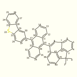 CC1(C)c2cccc3cc(-c4c5ccccc5c(-c5ccc6sc7ccccc7c6c5)c5ccccc45)c4cccc1c4c23